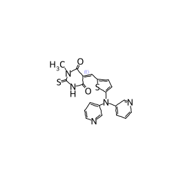 CN1C(=O)/C(=C/c2ccc(N(c3cccnc3)c3cccnc3)s2)C(=O)NC1=S